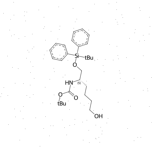 CC(C)(C)OC(=O)N[C@@H](CCCCO)CO[Si](c1ccccc1)(c1ccccc1)C(C)(C)C